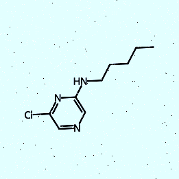 CCCCCNc1cncc(Cl)n1